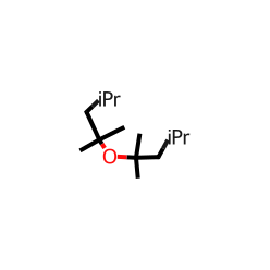 CC(C)CC(C)(C)OC(C)(C)CC(C)C